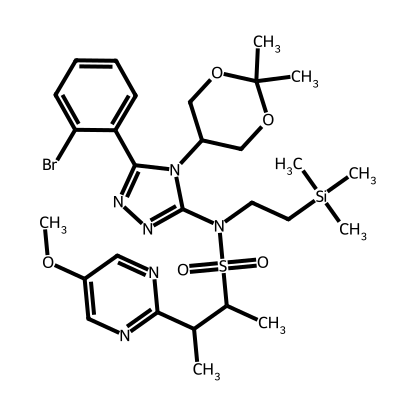 COc1cnc(C(C)C(C)S(=O)(=O)N(CC[Si](C)(C)C)c2nnc(-c3ccccc3Br)n2C2COC(C)(C)OC2)nc1